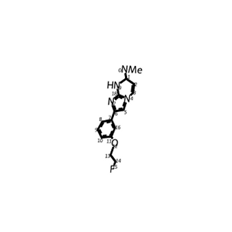 CNC1C=Cn2cc(-c3cccc(OCCF)c3)nc2N1